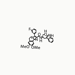 COc1cc2c(cc1OC)-c1nc(C(=O)N[C@@H](CO)Cc3c[nH]c4ccccc34)c(-c3cccc(F)c3)n1CC2